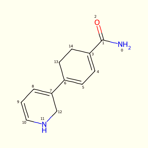 NC(=O)C1=CC=C(C2=CC=CNC2)CC1